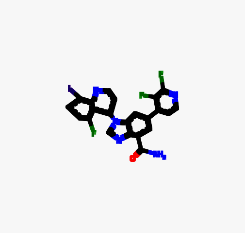 NC(=O)c1cc(-c2ccnc(F)c2F)cc2c1ncn2-c1ccnc2c(I)ccc(F)c12